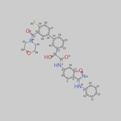 O=C(Nc1ccc2c(Nc3ccccc3)noc2c1)C(O)c1cccc(-c2ccc(F)c(C(=O)N3CCOCC3)c2)c1